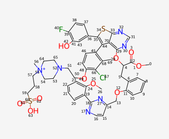 COC(=O)C(Cc1ccccc1OCc1ccnc(-c2ccccc2OC)n1)Oc1ncnc2sc(-c3ccc(F)c(O)c3)c(-c3ccc(OCCN4CC[N+](C)(CCCS(=O)(=O)O)CC4)c(Cl)c3C)c12